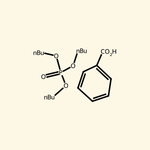 CCCCOP(=O)(OCCCC)OCCCC.O=C(O)c1ccccc1